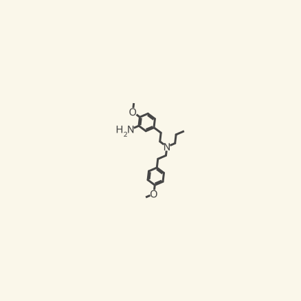 CCCN(CCc1ccc(OC)cc1)CCc1ccc(OC)c(N)c1